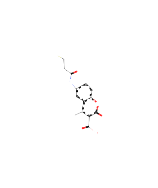 Cc1c(C(=O)O)c(=O)oc2ccc(NC(=O)CCS)cc12